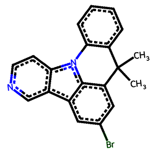 CC1(C)c2ccccc2-n2c3ccncc3c3cc(Br)cc1c32